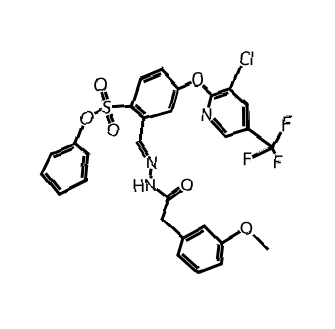 COc1cccc(CC(=O)NN=Cc2cc(Oc3ncc(C(F)(F)F)cc3Cl)ccc2S(=O)(=O)Oc2ccccc2)c1